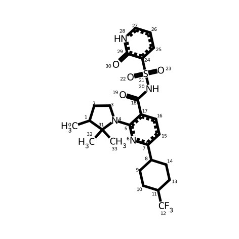 CC1CCN(c2nc(C3CCC(C(F)(F)F)CC3)ccc2C(=O)NS(=O)(=O)c2ccc[nH]c2=O)C1(C)C